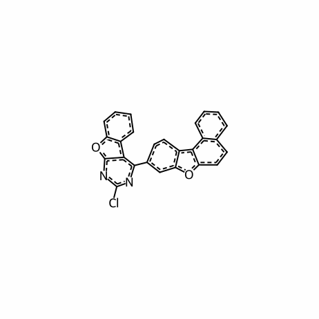 Clc1nc(-c2ccc3c(c2)oc2ccc4ccccc4c23)c2c(n1)oc1ccccc12